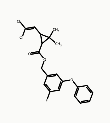 CC1(C)C(C=C(Cl)Cl)C1C(=O)OCc1cc(F)cc(Oc2ccccc2)c1